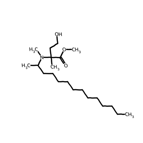 CCCCCCCCCCCCC(C)N(C)C(C)(CCO)C(=O)OC